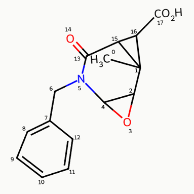 CC12C3OC3N(Cc3ccccc3)C(=O)C1C2C(=O)O